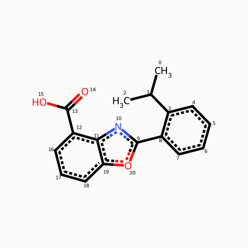 CC(C)c1ccccc1-c1nc2c(C(=O)O)cccc2o1